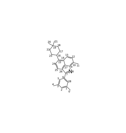 Cc1cc(C)cc(C2=Nc3c(C)ccc4c(C5CCC(C)(C)CC5)ccc2c34)c1